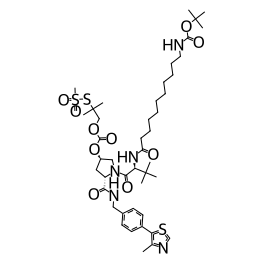 Cc1ncsc1-c1ccc(CNC(=O)[C@@H]2C[C@@H](OC(=O)OCC(C)(C)SS(C)(=O)=O)CN2C(=O)[C@@H](NC(=O)CCCCCCCCCCNC(=O)OC(C)(C)C)C(C)(C)C)cc1